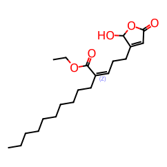 CCCCCCCCCC/C(=C/CCC1=CC(=O)OC1O)C(=O)OCC